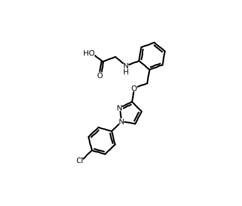 O=C(O)CNc1ccccc1COc1ccn(-c2ccc(Cl)cc2)n1